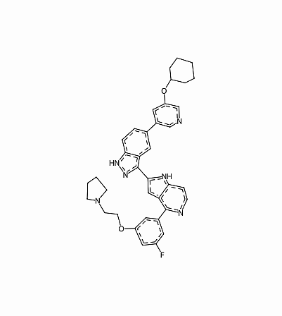 Fc1cc(OCCN2CCCC2)cc(-c2nccc3[nH]c(-c4n[nH]c5ccc(-c6cncc(OC7CCCCC7)c6)cc45)cc23)c1